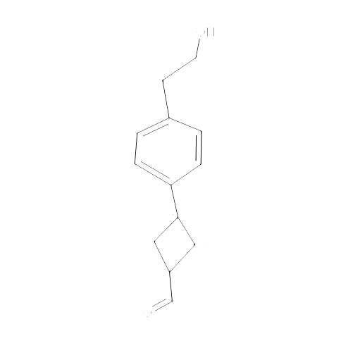 O=CC1CC(c2ccc(CCO)cc2)C1